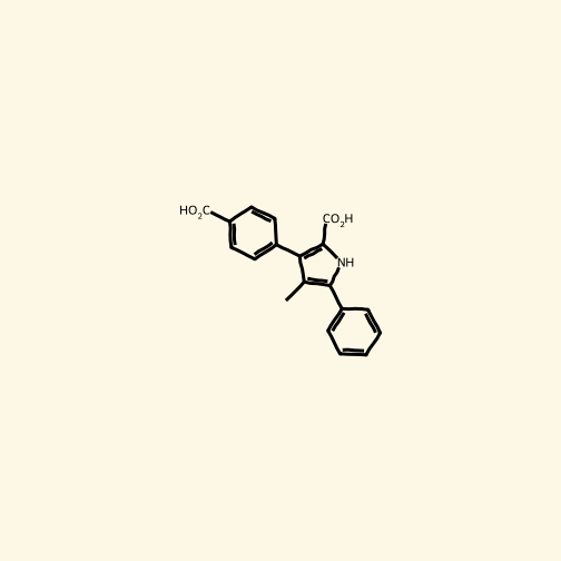 Cc1c(-c2ccccc2)[nH]c(C(=O)O)c1-c1ccc(C(=O)O)cc1